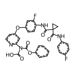 O=C(O)N(C(=O)Oc1ccccc1)c1cc(Oc2ccc(NC(=O)C3(C(=O)Nc4ccc(F)cc4)CC3)c(F)c2)ccn1